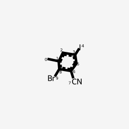 Cc1cc(I)cc(C#N)c1Br